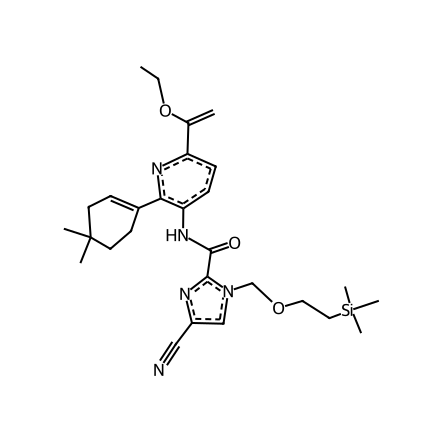 C=C(OCC)c1ccc(NC(=O)c2nc(C#N)cn2COCC[Si](C)(C)C)c(C2=CCC(C)(C)CC2)n1